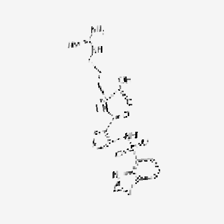 N=C(N)NCCC[C@H](NC(=O)c1sccc1NS(=O)(=O)c1cccc2nonc12)C(=O)O